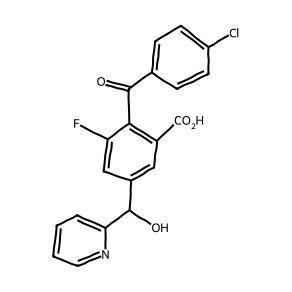 O=C(O)c1cc(C(O)c2ccccn2)cc(F)c1C(=O)c1ccc(Cl)cc1